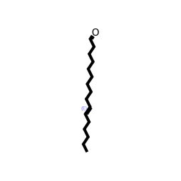 CCCCC/C=C/CCCCCCCCC=O